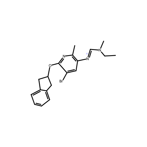 CCN(C)/C=N/c1cc(Br)c(OC2Cc3ccccc3C2)nc1C